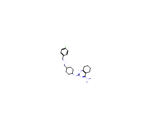 CN(C)c1nc(NC2CCC(CNCc3ccc(Cl)cc3)CC2)nc2c1CCCC2